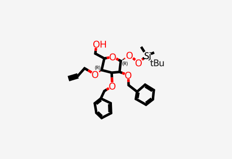 C#CCO[C@@H]1C(CO)O[C@H](OO[Si](C)(C)C(C)(C)C)C(OCc2ccccc2)C1OCc1ccccc1